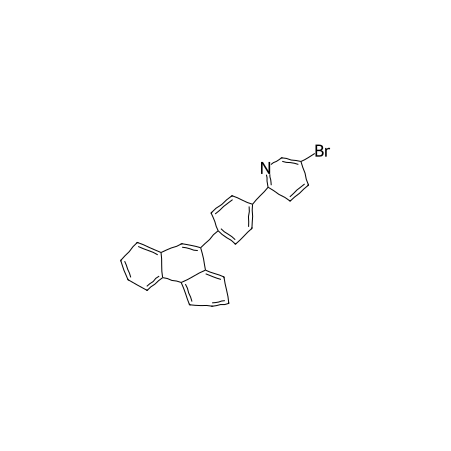 Brc1ccc(-c2ccc(-c3cc4ccccc4c4ccccc34)cc2)nc1